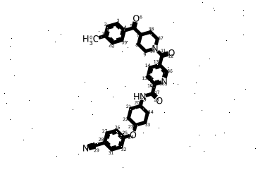 Cc1ccc(C(=O)C2CCN(C(=O)c3ccc(C(=O)NC4CCC(Oc5ccc(C#N)cc5)CC4)nc3)CC2)cc1